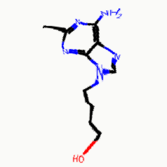 Cc1nc(N)c2ncn(CCCCO)c2n1